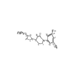 CCCC1CCC(C2CCC(c3cc(F)cc(F)c3)CC2)C1